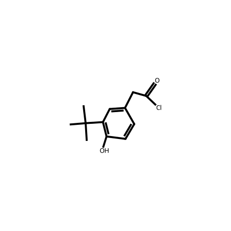 CC(C)(C)c1cc(CC(=O)Cl)ccc1O